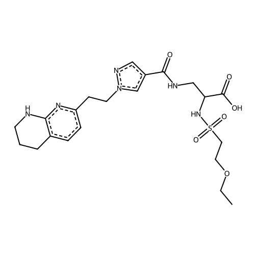 CCOCCS(=O)(=O)NC(CNC(=O)c1cnn(CCc2ccc3c(n2)NCCC3)c1)C(=O)O